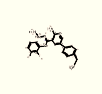 NCc1ccc(-c2cnc(N)c(/C(=N/NN)Nc3cccc(F)c3F)c2)cc1